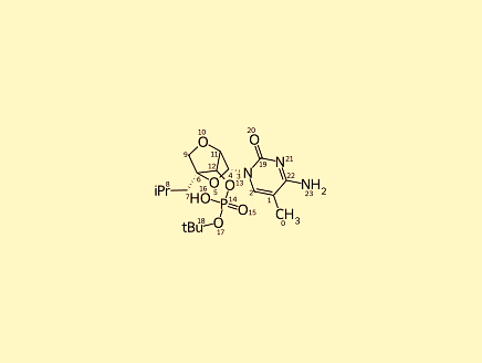 Cc1cn([C@@H]2O[C@@]3(CC(C)C)COC2C3OP(=O)(O)OC(C)(C)C)c(=O)nc1N